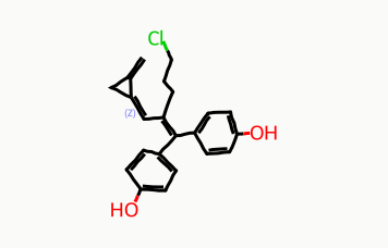 C=C1C/C1=C/C(CCCCl)=C(c1ccc(O)cc1)c1ccc(O)cc1